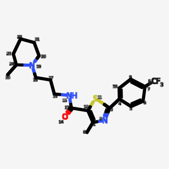 Cc1nc(-c2ccc(C(F)(F)F)cc2)sc1C(=O)NCCCN1CCCCC1C